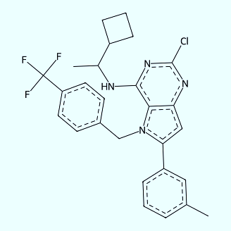 Cc1cccc(-c2cc3nc(Cl)nc(NC(C)C4CCC4)c3n2Cc2ccc(C(F)(F)F)cc2)c1